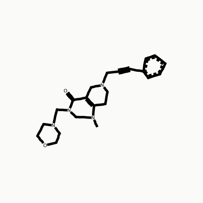 CN1CN(CN2CCOCC2)C(=O)C2=C1CCN(CC#Cc1ccccc1)C2